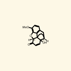 COc1ccc2c3c1O[C@H]1C(=O)C=CC4(O)[C@H](CCCC314)C2